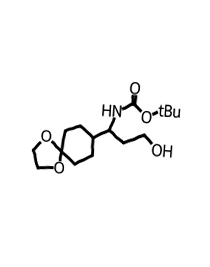 CC(C)(C)OC(=O)NC(CCO)C1CCC2(CC1)OCCO2